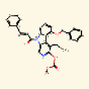 COCc1c(OC(=O)OC(C)C)ncc2c1c1c(OCc3ccccc3)cccc1n2C(=O)C=Cc1ccccc1